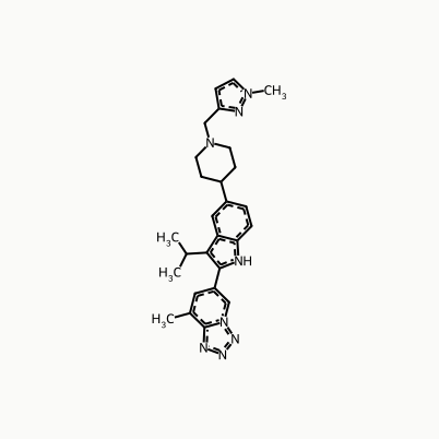 Cc1cc(-c2[nH]c3ccc(C4CCN(Cc5ccn(C)n5)CC4)cc3c2C(C)C)cn2nnnc12